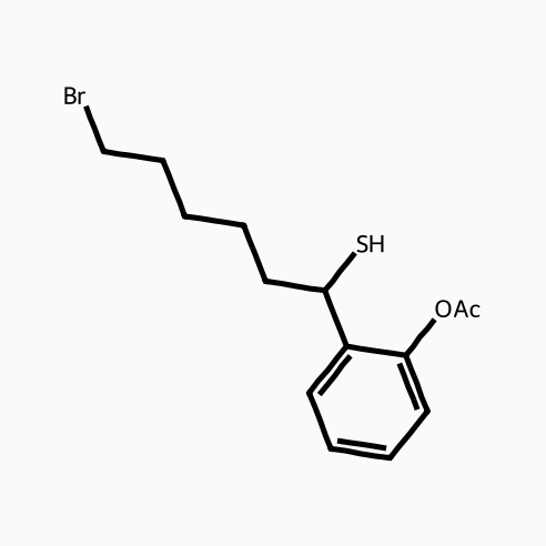 CC(=O)Oc1ccccc1C(S)CCCCCBr